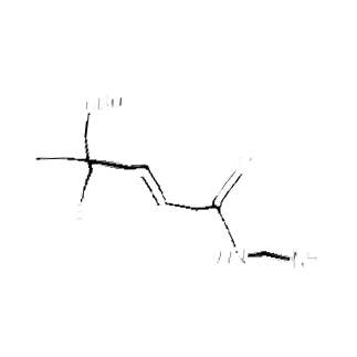 CCCCC(C)(/C=C/C(=O)NN)CC